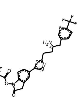 N[C@H](CCc1nnc(-c2ccc3c(c2)CC(=O)N3OC(=O)C(F)(F)F)s1)Cc1ccc(C(F)(F)F)nc1